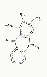 Nc1cc2c(c(N)c1N)C(=O)c1ccccc1C2=O